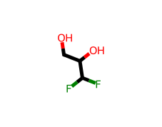 OCC(O)C(F)F